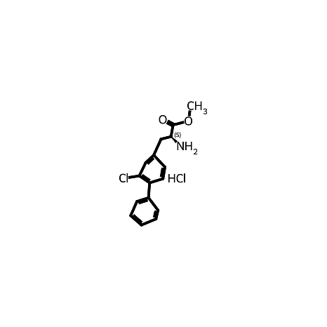 COC(=O)[C@@H](N)Cc1ccc(-c2ccccc2)c(Cl)c1.Cl